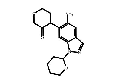 Cc1cc2cnn(C3CCCCO3)c2cc1C1CCOCC1=O